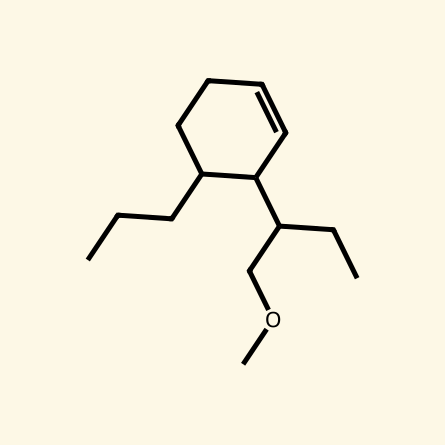 CCCC1CCC=CC1C(CC)COC